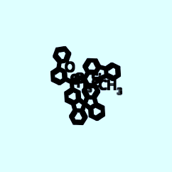 C[Si]1(C)c2ccccc2-c2cccc(C(=O)c3ccc4c(c3)C3(c5ccccc5-4)c4ccccc4-c4ccc(C(=O)c5cccc6c5oc5ccccc56)cc43)c21